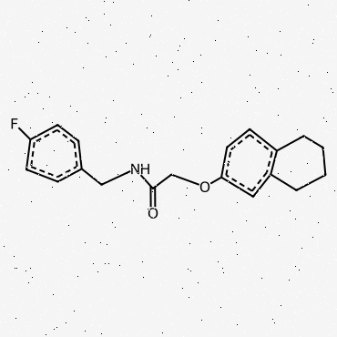 O=C(COc1ccc2c(c1)CCCC2)NCc1ccc(F)cc1